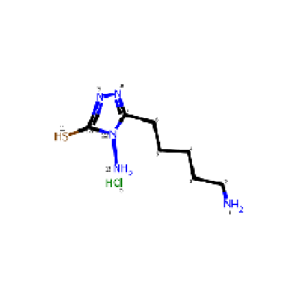 Cl.NCCCCCc1nnc(S)n1N